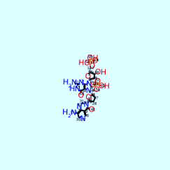 Nc1nc2c(ncn2[C@@H]2O[C@H](COP(=O)(O)O)C(O)C2OP(=O)(O)OC[C@@H]2CC[C@H](n3cnc4c(N)cncc4c3=O)O2)c(=O)[nH]1